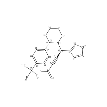 C=C(C)C#C[C@H](c1ccoc1)N1CC[CH]C[C@H]1c1ccc(C(F)(F)F)cc1